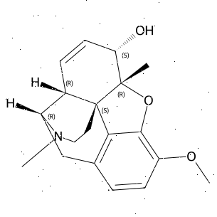 COc1c[c]c2c3c1O[C@@]1(C)[C@@H](O)C=C[C@H]4[C@@H](C2)N(C)CC[C@@]341